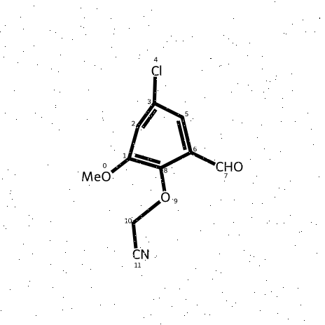 COc1cc(Cl)cc(C=O)c1OCC#N